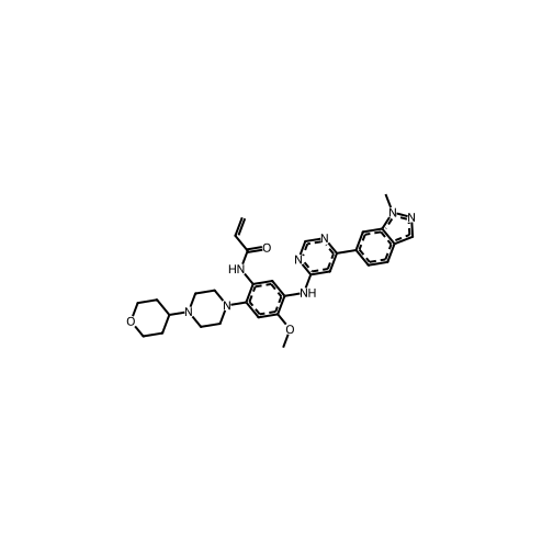 C=CC(=O)Nc1cc(Nc2cc(-c3ccc4cnn(C)c4c3)ncn2)c(OC)cc1N1CCN(C2CCOCC2)CC1